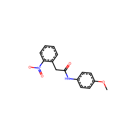 COc1ccc(NC(=O)Cc2ccccc2[N+](=O)[O-])cc1